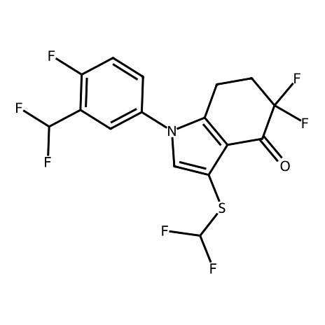 O=C1c2c(SC(F)F)cn(-c3ccc(F)c(C(F)F)c3)c2CCC1(F)F